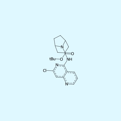 CC(C)(C)OC(=O)N1C2CCC1CC(Nc1nc(Cl)cc3ncccc13)C2